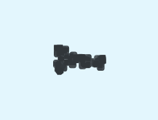 C=CS(=O)(=O)COCS(=O)(=O)C=C.C=CS(=O)(=O)N1CN(S(=O)(=O)C=C)CN(S(=O)(=O)C=C)C1